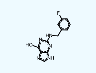 Oc1nc(NCc2cccc(F)c2)nc2[nH]cnc12